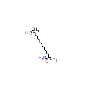 CC(=CCCCCCCCCCCCCN(C)C)C(N)=O